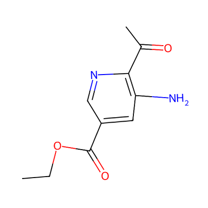 CCOC(=O)c1cnc(C(C)=O)c(N)c1